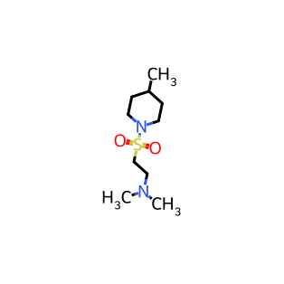 CC1CCN(S(=O)(=O)CCN(C)C)CC1